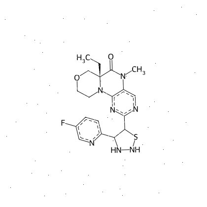 CC[C@]12COCCN1c1nc(C3SNNC3c3ccc(F)cn3)ncc1N(C)C2=O